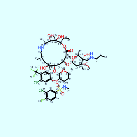 CCCNC[C@]1(O)[C@H](C)O[C@@H](O[C@H]2[C@H](C)[C@@H](O[C@@H]3O[C@H](C)C[C@H](N(C)S(=O)(=O)c4ccc(F)c(Cl)c4)[C@H]3Oc3ccc(C(F)(F)F)c(Cl)c3)[C@](C)(O)C[C@@H](C)CN[C@H](C)[C@@H](O)[C@](C)(O)[C@@H](CC)OC(=O)[C@@H]2C)C[C@@]1(C)OC